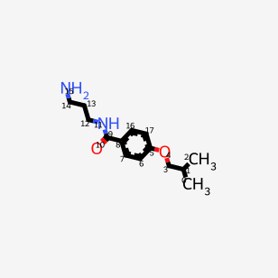 CC(C)COc1ccc(C(=O)NCCCN)cc1